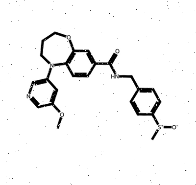 COc1cncc(N2CCCOc3cc(C(=O)NCc4ccc([S+](C)[O-])cc4)ccc32)c1